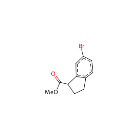 COC(=O)C1CCc2ccc(Br)cc21